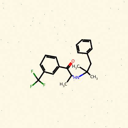 CC(NC(C)(C)Cc1ccccc1)C(=O)c1cccc(C(F)(F)F)c1